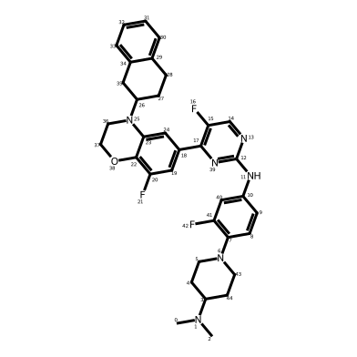 CN(C)C1CCN(c2ccc(Nc3ncc(F)c(-c4cc(F)c5c(c4)N(C4CCc6ccccc6C4)CCO5)n3)cc2F)CC1